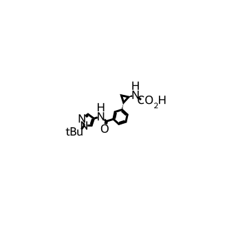 CC(C)(C)n1cc(NC(=O)c2cccc([C@@H]3C[C@H]3NC(=O)O)c2)cn1